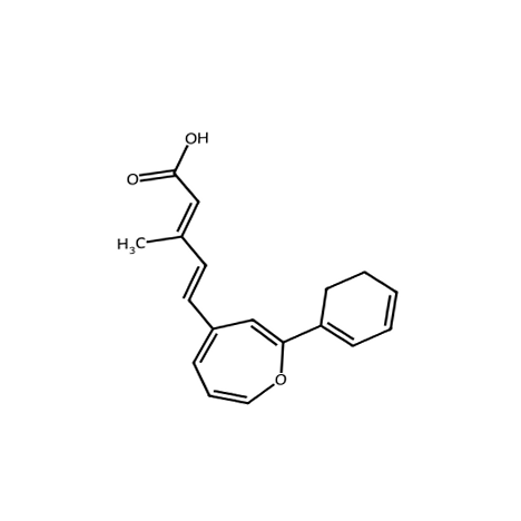 CC(/C=C/C1=CC=COC(C2=CC=CCC2)=C1)=C\C(=O)O